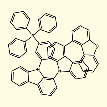 c1ccc([Si](c2ccccc2)(c2ccccc2)c2cccc(-n3c4ccccc4c4cccc(-n5c6ccccc6c6c(-c7cccc8oc9ccccc9c78)cccc65)c43)c2)cc1